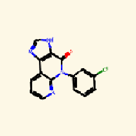 O=c1c2[nH]cnc2c2cccnc2n1-c1cccc(Cl)c1